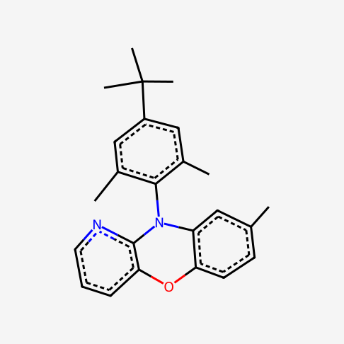 Cc1ccc2c(c1)N(c1c(C)cc(C(C)(C)C)cc1C)c1ncccc1O2